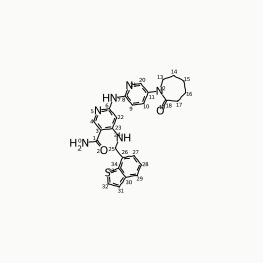 NC(=O)c1cnc(Nc2ccc(N3CCCCCC3=O)cn2)cc1NCc1cccc2ccsc12